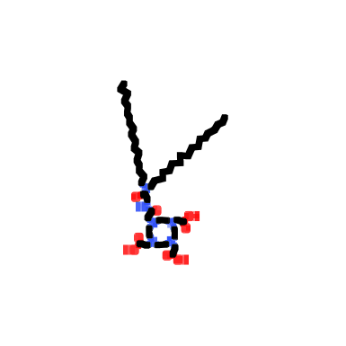 CCCCCCCCCCCCCCCCCCN(CCCCCCCCCCCCCCCCCC)C(=O)CNC(=O)CN1CCN(CC(=O)O)CCN(CC(=O)O)CCN(CC(=O)O)CC1